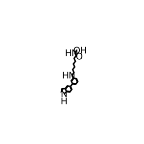 O=C(CCCCCCNc1cccc(-c2ccc3[nH]ccc3c2)c1)NO